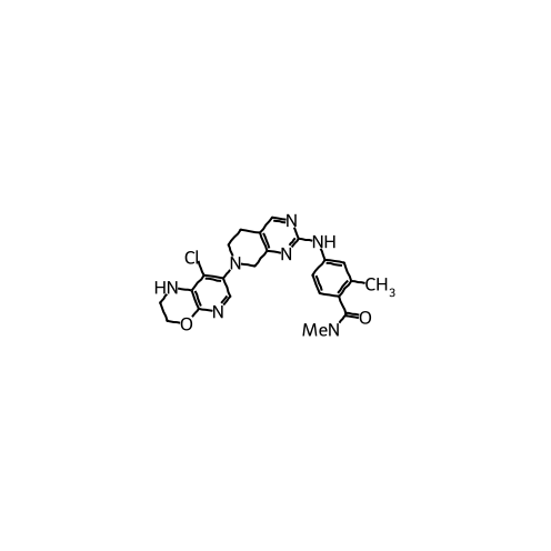 CNC(=O)c1ccc(Nc2ncc3c(n2)CN(c2cnc4c(c2Cl)NCCO4)CC3)cc1C